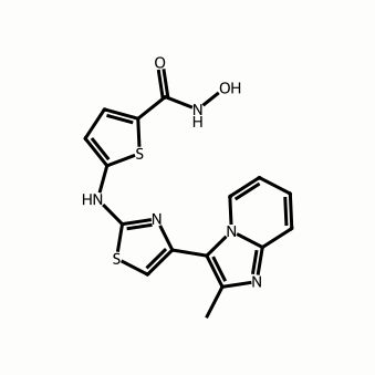 Cc1nc2ccccn2c1-c1csc(Nc2ccc(C(=O)NO)s2)n1